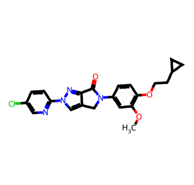 COc1cc(N2Cc3cn(-c4ccc(Cl)cn4)nc3C2=O)ccc1OCCC1CC1